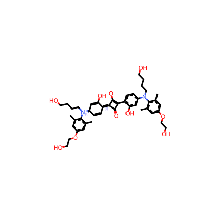 Cc1cc(OCCO)cc(C)c1N(CCCCO)c1ccc(C2=C([O-])/C(=C3C=C/C(=[N+](/CCCCO)c4c(C)cc(OCCO)cc4C)C=C/3O)C2=O)c(O)c1